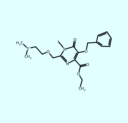 CCOC(=O)c1nc(COCC[S+](C)C)n(I)c(=O)c1OCc1ccccc1